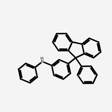 c1ccc(Nc2cccc(C3(c4ccccc4)c4ccccc4-c4ccccc43)c2)cc1